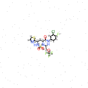 O=C(Nc1ccc(F)c(Cl)c1)C1CC(c2nccs2)NS(=O)(=O)N1CCOC(F)(F)F